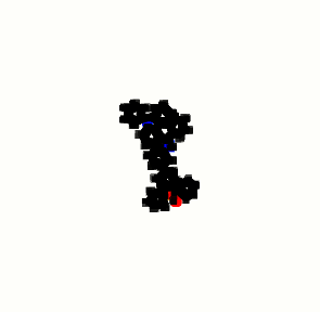 O=P(c1ccccc1)(c1ccccc1)c1ccc(-c2ccc3c(c2)nc(-c2ccccc2)c2c3ccc3c2c2ccccc2n3-c2ccccc2)cc1